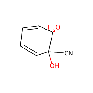 N#CC1(O)C=CC=CC1.O